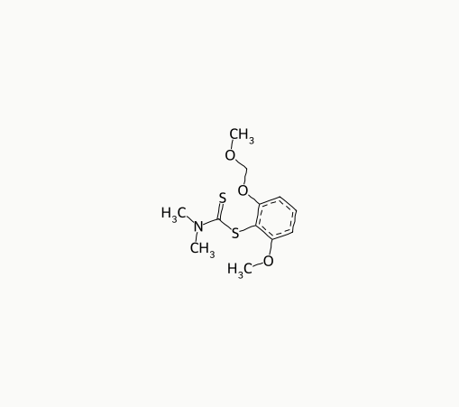 COCOc1cccc(OC)c1SC(=S)N(C)C